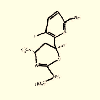 C[C@@]1(c2nc(Br)ccc2F)C[C@@H](C(F)(F)F)N=C(NC(=O)O)O1